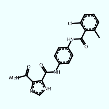 CNC(=O)c1nc[nH]c1C(=O)Nc1ccc(NC(=O)c2c(C)cccc2Cl)cc1